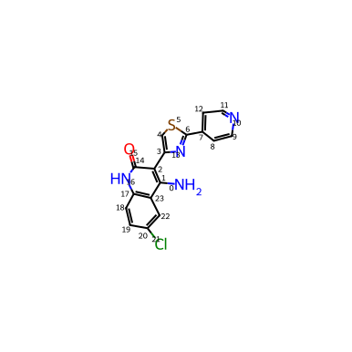 Nc1c(-c2csc(-c3ccncc3)n2)c(=O)[nH]c2ccc(Cl)cc12